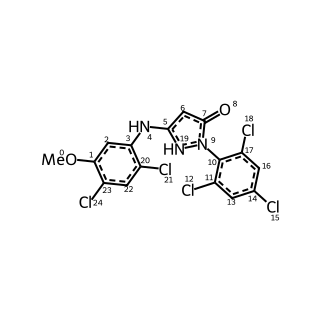 COc1cc(Nc2cc(=O)n(-c3c(Cl)cc(Cl)cc3Cl)[nH]2)c(Cl)cc1Cl